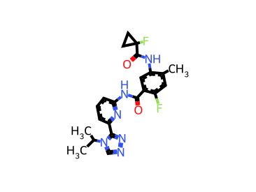 Cc1cc(F)c(C(=O)Nc2cccc(-c3nncn3C(C)C)n2)cc1NC(=O)C1(F)CC1